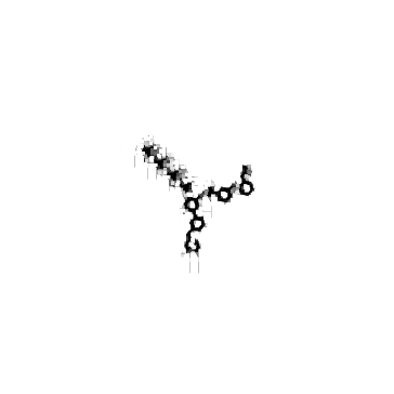 C[C@H]1CN(Cc2cccc(-c3cc(CNC(=O)c4cccc(CN5CCCCC5CN(C)C)c4)ccc3F)c2)CCN1.O=C(O)C(F)(F)F.O=C(O)C(F)(F)F.O=C(O)C(F)(F)F.O=C(O)C(F)(F)F